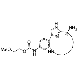 COCCOC(=O)Nc1ccc2c(c1)NCCCCCC[C@H](N)c1nc-2c[nH]1